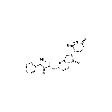 N[C@H](C(=O)NCc1ccc2c(c1)CN(C1CCC(=O)NC1=O)C2=O)c1ccccc1